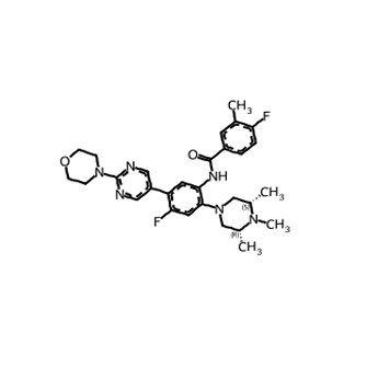 Cc1cc(C(=O)Nc2cc(-c3cnc(N4CCOCC4)nc3)c(F)cc2N2C[C@@H](C)N(C)[C@@H](C)C2)ccc1F